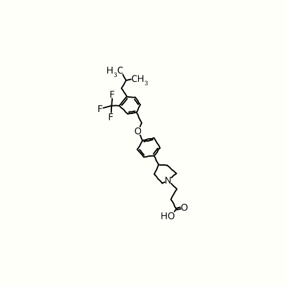 CC(C)Cc1ccc(COc2ccc(C3CCN(CCC(=O)O)CC3)cc2)cc1C(F)(F)F